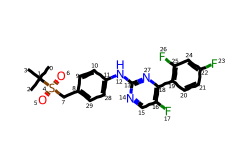 CC(C)(C)S(=O)(=O)Cc1ccc(Nc2ncc(F)c(-c3ccc(F)cc3F)n2)cc1